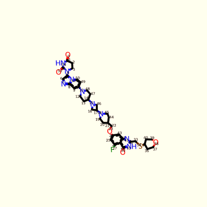 O=C1CCN(c2cnc3cc(N4CCC(N5CC(N6CCC(COc7cc(F)c8c(=O)[nH]c(CSC9CCOCC9)nc8c7)CC6)C5)CC4)ccn23)C(=O)N1